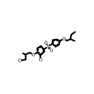 CCC(C)COc1ccc(S(=O)(=O)c2ccc(OCC(C)CCl)c(Cl)c2)cc1